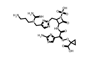 N=C(N)N(CCCN)Cc1cnn(CC2C(NC(=O)/C(=N\OC3(C(=O)O)CC3)c3csc(N)n3)C(=O)N2S(=O)(=O)O)n1